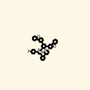 Fc1ccc(-c2cc(-c3ccccc3-c3cccnc3)nc(-c3cc(-c4ccc5oc6ccccc6c5c4)cc(-c4ccc5oc6ccccc6c5c4)c3)n2)cc1